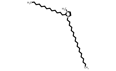 CCCCCCCCCCCCCCCCCCCN1C=CN(C)C1CCCCCCCCCCCCC